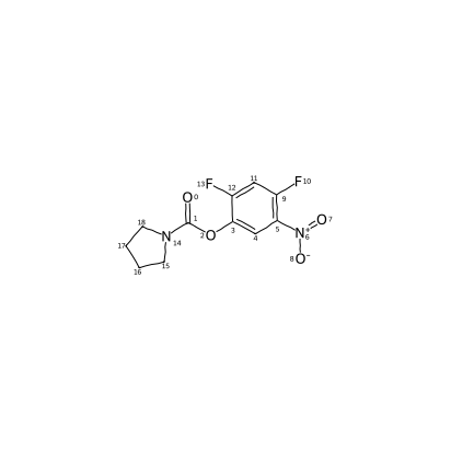 O=C(Oc1cc([N+](=O)[O-])c(F)cc1F)N1CCCC1